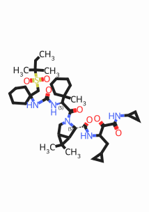 CCC(C)(C)S(=O)(=O)CC1(NC(=O)N[C@H](C(=O)N2CC3C([C@H]2C(=O)NC(CC2CC2)C(=O)C(=O)NC2CC2)C3(C)C)C2(C)CCCCC2)CCCCC1